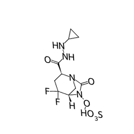 O=C(NNC1CC1)[C@@H]1CC(F)(F)[C@@H]2CN1C(=O)N2OS(=O)(=O)O